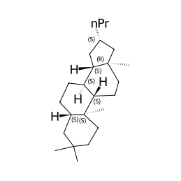 CCC[C@H]1C[C@H]2[C@@H]3CC[C@H]4CC(C)(C)CC[C@]4(C)[C@H]3CC[C@]2(C)C1